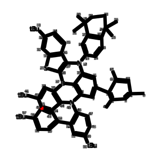 Cc1cc(C)c(-c2cc3c4c(c2)N(c2ccc5c(c2)C(C)(C)CCC5(C)C)c2c(sc5cc(C(C)(C)C)ccc25)B4c2cc(C(C)(C)C)ccc2N3c2ccc(C(C)(C)C)cc2-c2ccc(C(C)(C)C)cc2)c(C)c1